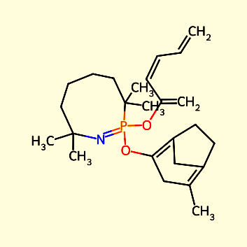 C=C/C=C\C(=C)OP1(OC2=C3CCC(=C(C)C2)C3)=NC(C)(C)CCCCC1(C)C